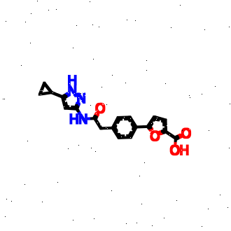 O=C(Cc1ccc(-c2ccc(C(=O)O)o2)cc1)Nc1cc(C2CC2)[nH]n1